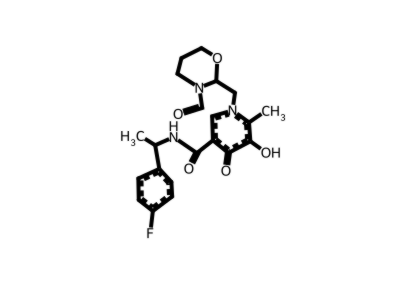 Cc1c(O)c(=O)c(C(=O)NC(C)c2ccc(F)cc2)cn1CC1OCCCN1C=O